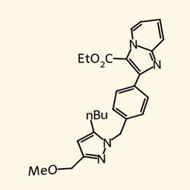 CCCCc1cc(COC)nn1Cc1ccc(-c2nc3ccccn3c2C(=O)OCC)cc1